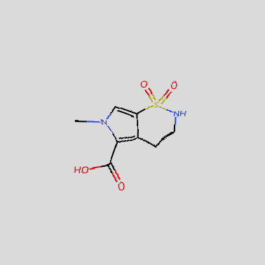 Cn1cc2c(c1C(=O)O)CCNS2(=O)=O